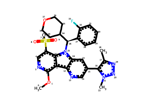 COc1ncc(S(C)(=O)=O)c2c1c1ncc(-c3c(C)nnn3C)cc1n2[C@H](c1ccccc1F)C1CCOCC1